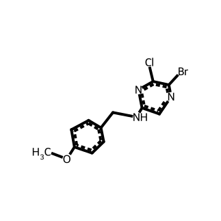 COc1ccc(CNc2cnc(Br)c(Cl)n2)cc1